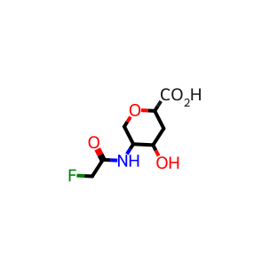 O=C(CF)NC1COC(C(=O)O)CC1O